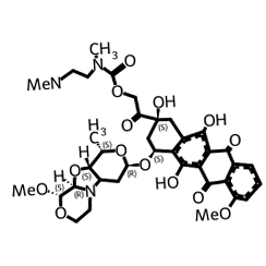 CNCCN(C)C(=O)OCC(=O)[C@]1(O)Cc2c(O)c3c(c(O)c2[C@@H](O[C@H]2CC4[C@H](O[C@@H]5[C@@H](OC)OCCN45)[C@H](C)O2)C1)C(=O)c1c(OC)cccc1C3=O